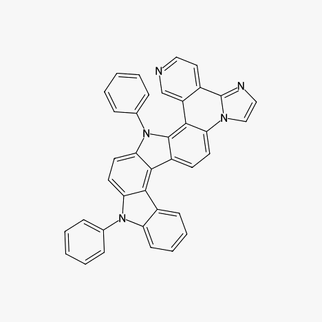 c1ccc(-n2c3ccccc3c3c4c5ccc6c(c7cnccc7c7nccn67)c5n(-c5ccccc5)c4ccc32)cc1